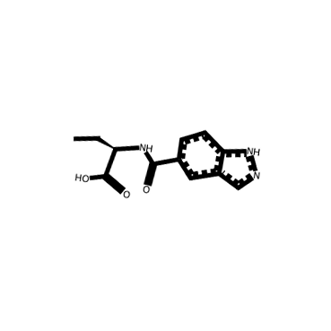 CC[C@@H](NC(=O)c1ccc2[nH]ncc2c1)C(=O)O